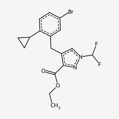 CCOC(=O)c1nn(C(F)F)cc1Cc1cc(Br)ccc1C1CC1